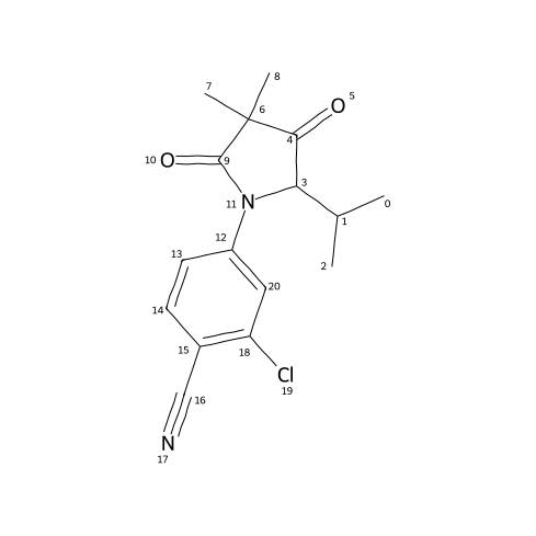 CC(C)C1C(=O)C(C)(C)C(=O)N1c1ccc(C#N)c(Cl)c1